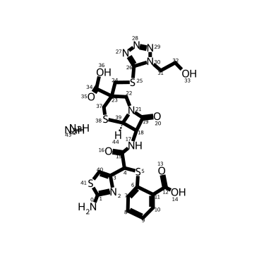 Nc1nc(C(Sc2ccccc2C(=O)O)C(=O)NC2C(=O)N3CC(CSc4nnnn4CCO)(C(=O)O)CS[C@H]23)cs1.[NaH].[NaH]